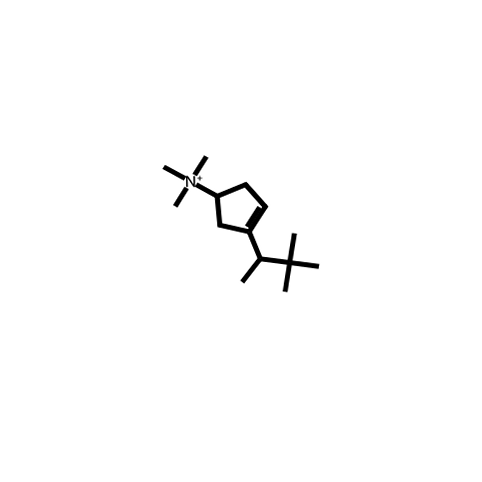 CC(C1=CCC([N+](C)(C)C)C1)C(C)(C)C